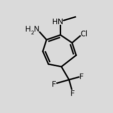 CNC1=C(N)C=CC(C(F)(F)F)C=C1Cl